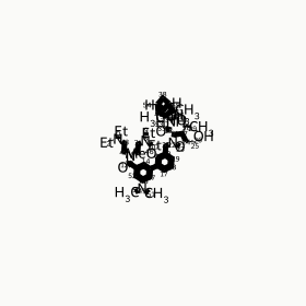 CCN(CC)CCN(CCN(CC)CC)C(=O)c1cc(-c2cccc(CN3O[C@@H](CO)[C@@H]([C@H](C)O)[C@H]3C(=O)N[C@H]3C[C@H]4C[C@@H]([C@@H]3C)C4(C)C)c2OC)cc(N(C)C)c1